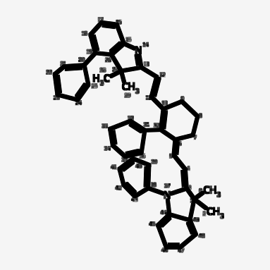 CC1(C)C(=CC=C2CCCC(C=CC3=Nc4cccc(-c5ccccc5)c4C3(C)C)=C2c2ccccc2)N(c2ccccc2)c2ccccc21